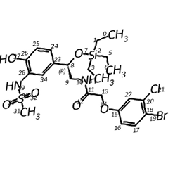 CC[Si](CC)(CC)O[C@@H](CNC(=O)COc1ccc(Br)c(Cl)c1)c1ccc(O)c(NS(C)(=O)=O)c1